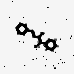 BrC(C=Cc1ccccc1)=C(Br)c1ccccc1